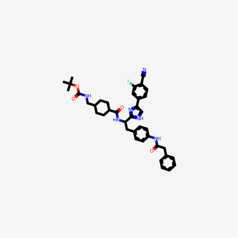 CC(C)(C)OC(=O)NCC1CCC(C(=O)NC(Cc2ccc(NC(=O)Cc3ccccc3)cc2)c2nc(-c3ccc(C#N)c(F)c3)c[nH]2)CC1